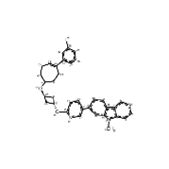 Cn1c2ccncc2c2ccc(-c3ccc(O[C@H]4C[C@H](OC5CCC=C(c6cccc(I)c6)CC5)C4)nc3)cc21